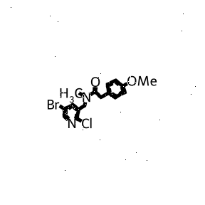 COc1ccc(CC(=O)N(C)Cc2cc(Br)cnc2Cl)cc1